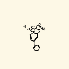 CC1(C)Oc2ccc(-c3ccccc3)cc2CC1=S(=O)=O